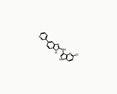 Clc1ccc2[nH]cc(Nc3nc4cc(-c5cccnc5)ccc4[nH]3)c2n1